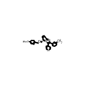 COc1ccc(COC[C@@H]2CCc3nc(-c4cccc(C)c4)c(-c4ccncc4)n32)cc1